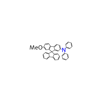 COc1ccc2c(c1)C1(c3ccccc3-c3ccccc31)c1cc(N(c3ccccc3)c3ccccc3)ccc1-2